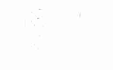 CO[C@H](C1CC1)[C@H]1CC[C@@H](C(=O)N2Cc3cccnc3Nc3ccc(N4CCOCC4)cc32)CC1